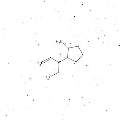 C=CP(CC)C1CCCC1C